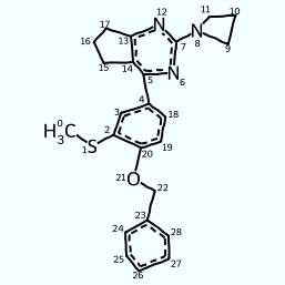 CSc1cc(-c2nc(N3CCC3)nc3c2CCC3)ccc1OCc1ccccc1